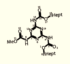 CCCCCCCOC(=O)Nc1nc(NC(=O)OC)nc(NC(=O)OCCCCCCC)n1